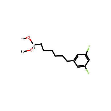 CCO[SiH](CCCCCCc1cc(F)cc(F)c1)OCC